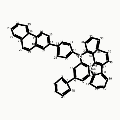 c1ccc(-c2cccc(N(c3ccc(-c4ccc5c(ccc6ccccc65)c4)cc3)c3cccc4ccc5c6ccccc6oc5c34)c2)cc1